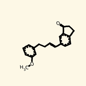 COc1cccc(CCC=Cc2ccc3c(c2)C(=O)CC3)c1